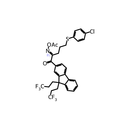 CC(=O)O/N=C(\CCCSc1ccc(Cl)cc1)C(=O)c1ccc2c(c1)C(CCC(F)(F)F)(CCC(F)(F)F)c1ccccc1-2